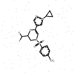 Cc1ccc(S(=O)(=O)N2C=C(c3cnn(C4CC4)c3)OC(C(F)F)C2)cc1